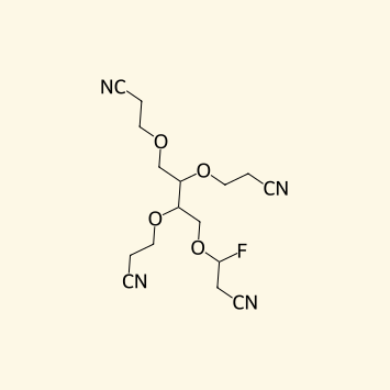 N#CCCOCC(OCCC#N)C(COC(F)CC#N)OCCC#N